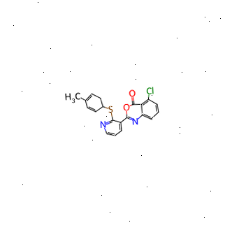 CC1=CCC(Sc2ncccc2-c2nc3cccc(Cl)c3c(=O)o2)C=C1